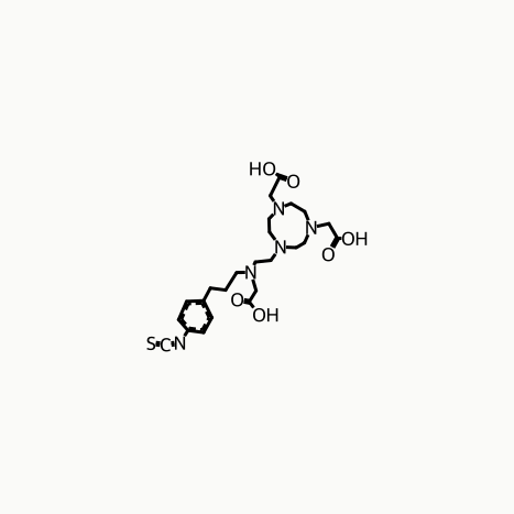 O=C(O)CN(CCCc1ccc(N=C=S)cc1)CCN1CCN(CC(=O)O)CCN(CC(=O)O)CC1